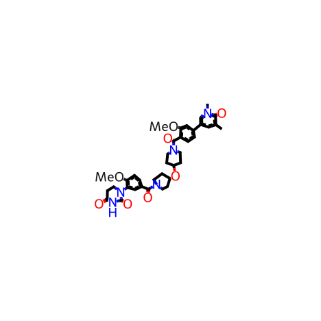 COc1cc(-c2cc(C)c(=O)n(C)c2)ccc1C(=O)N1CCC(OC2CCN(C(=O)c3ccc(OC)c(N4CCC(=O)NC4=O)c3)CC2)CC1